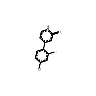 O=c1cc(-c2ccc(Cl)cc2Cl)cc[nH]1